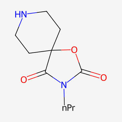 CCCN1C(=O)OC2(CCNCC2)C1=O